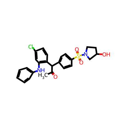 CC(=O)C(c1ccc(S(=O)(=O)N2CCC(O)C2)cc1)c1ccc(Cl)cc1Nc1ccccc1